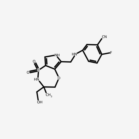 CC1(CO)COc2c(c[nH]c2CNc2ccc(F)c(C#N)c2)S(=O)(=O)N1